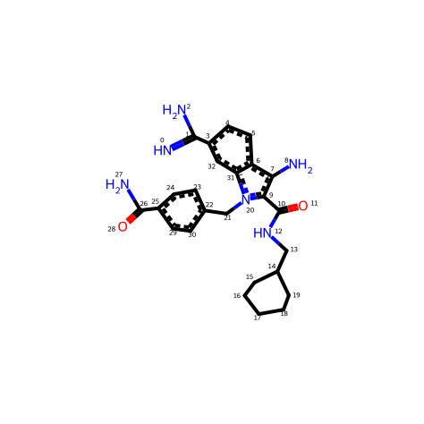 N=C(N)c1ccc2c(N)c(C(=O)NCC3CCCCC3)n(Cc3ccc(C(N)=O)cc3)c2c1